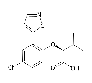 CC(C)[C@H](Oc1ccc(Cl)cc1-c1ccno1)C(=O)O